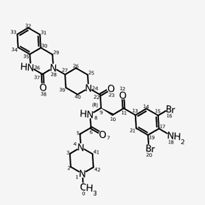 CN1CCN(CC(=O)N[C@H](CC(=O)c2cc(Br)c(N)c(Br)c2)C(=O)N2CCC(N3Cc4ccccc4NC3=O)CC2)CC1